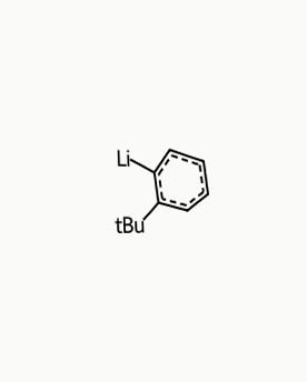 [Li][c]1ccccc1C(C)(C)C